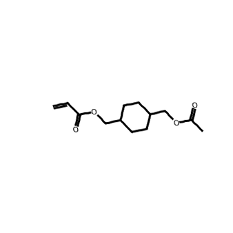 C=CC(=O)OCC1CCC(COC(C)=O)CC1